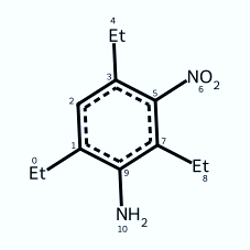 CCc1cc(CC)c([N+](=O)[O-])c(CC)c1N